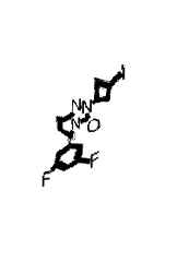 O=c1n(C2CC(I)C2)nc2n1[C@H](c1cc(F)cc(F)c1)CC2